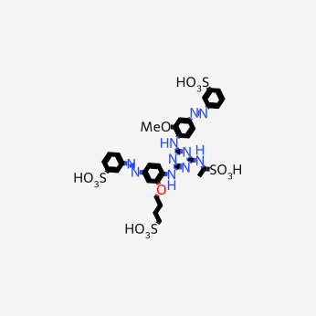 COc1cc(N=Nc2cccc(S(=O)(=O)O)c2)ccc1Nc1nc(Nc2ccc(N=Nc3cccc(S(=O)(=O)O)c3)cc2OCCCCS(=O)(=O)O)nc(NC(C)S(=O)(=O)O)n1